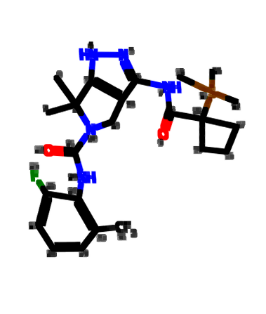 CC1(C)c2[nH]nc(NC(=O)C3(S(C)(C)C)CCC3)c2CN1C(=O)Nc1c(F)cccc1C(F)(F)F